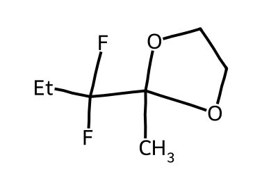 CCC(F)(F)C1(C)OCCO1